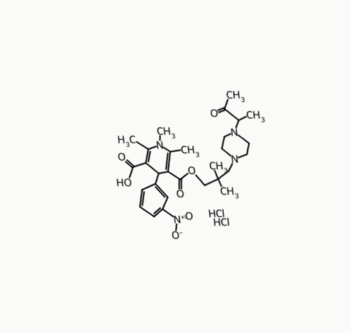 CC(=O)C(C)N1CCN(CC(C)(C)COC(=O)C2=C(C)N(C)C(C)=C(C(=O)O)C2c2cccc([N+](=O)[O-])c2)CC1.Cl.Cl